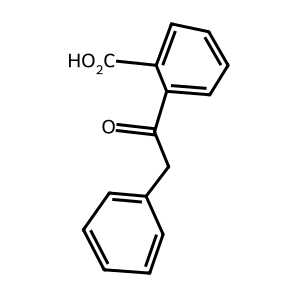 O=C(O)c1ccccc1C(=O)Cc1ccccc1